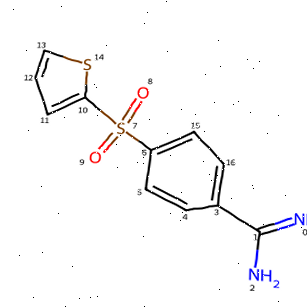 N=C(N)c1ccc(S(=O)(=O)c2cccs2)cc1